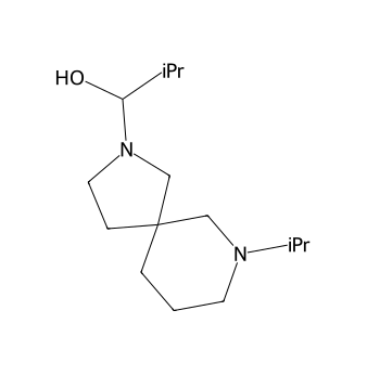 CC(C)C(O)N1CCC2(CCCN(C(C)C)C2)C1